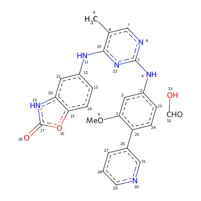 COc1cc(Nc2ncc(C)c(Nc3ccc4oc(=O)[nH]c4c3)n2)ccc1-c1cccnc1.O=CO